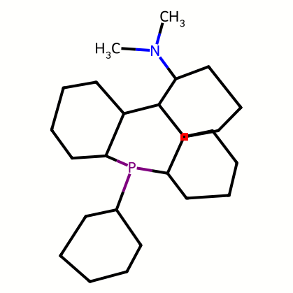 CN(C)C1CCCCC1C1CCCCC1P(C1CCCCC1)C1CCCCC1